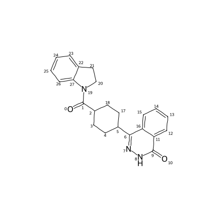 O=C(C1CCC(c2n[nH]c(=O)c3ccccc23)CC1)N1CCc2ccccc21